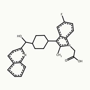 Cc1c(C2CCC(C(O)c3ccc4ccccc4n3)CC2)c2cc(F)ccc2n1CC(=O)O